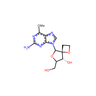 COc1nc(N)nc2c1ncn2C1OC(CO)[C@@H](O)[C@]12CCO2